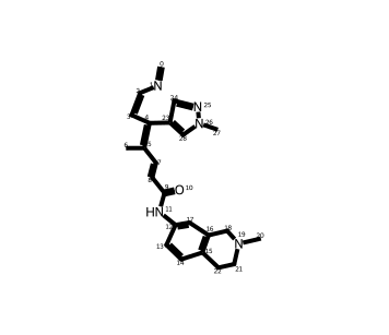 C=N\C=C/C(=C(C)/C=C/C(=O)Nc1ccc2c(c1)CN(C)CC2)c1cnn(C)c1